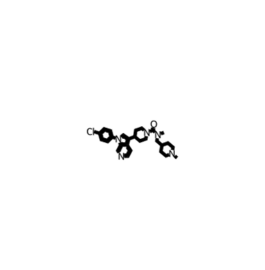 CN1CCC(CN(C)C(=O)N2CCC(c3cn(-c4ccc(Cl)cc4)c4cnccc34)CC2)CC1